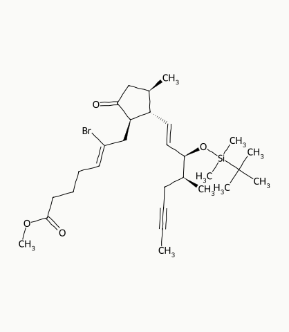 CC#CC[C@H](C)[C@@H](/C=C/[C@H]1[C@H](C)CC(=O)[C@@H]1C/C(Br)=C/CCCC(=O)OC)O[Si](C)(C)C(C)(C)C